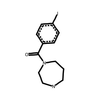 O=C(c1ccc(I)cc1)N1CCC[N]CC1